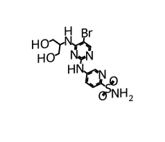 NS(=O)(=O)c1ccc(Nc2ncc(Br)c(NC(CO)CO)n2)cn1